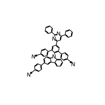 N#Cc1ccc(-c2ccc3c(c2)c2ccccc2n3-c2c(-c3ccc(C#N)cc3)cc(-c3cc(-c4ccccc4)nc(-c4ccccc4)n3)cc2-c2ccc(C#N)cc2)cc1